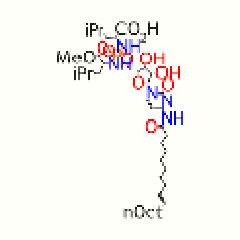 CCCCCCCC/C=C/CCCCCCCC(=O)Nc1ccn([C@@H]2O[C@H](COP(=O)(N[C@@H](CC(C)C)C(=O)O)N[C@@H](CC(C)C)C(=O)OC)[C@@H](O)[C@@H]2O)c(=O)n1